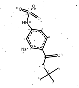 CC(C)(C)OC(=O)c1ccc(NS(=O)(=O)[O-])cc1.[Na+]